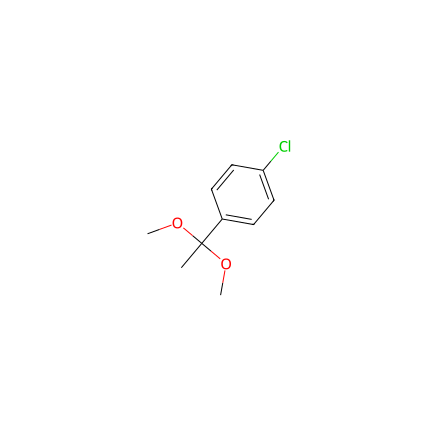 COC(C)(OC)c1ccc(Cl)cc1